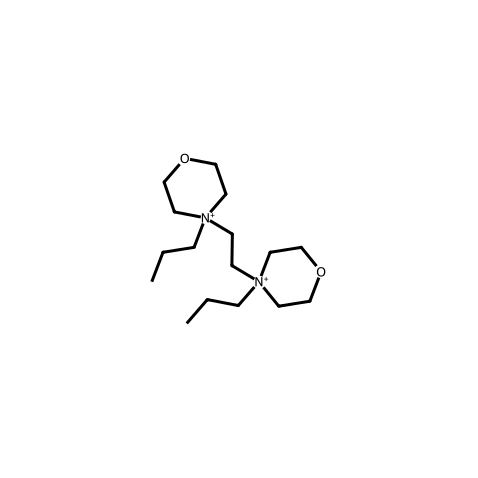 CCC[N+]1(CC[N+]2(CCC)CCOCC2)CCOCC1